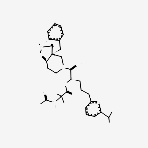 CN1N=C2CCN(C(=O)[C@@H](CCCc3cccc(C(F)F)n3)NC(=O)C(C)(C)NC(=O)O)C[C@@]2(Cc2ccccc2)C1=O